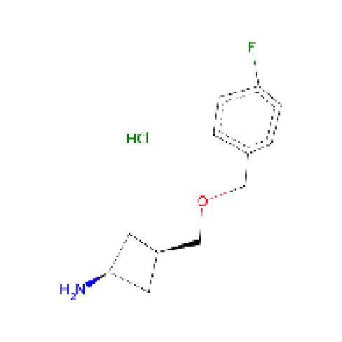 Cl.N[C@H]1C[C@@H](COCc2ccc(F)cc2)C1